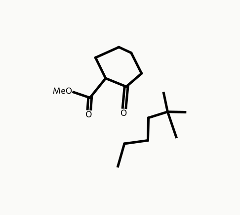 CCCCC(C)(C)C.COC(=O)C1CCCCC1=O